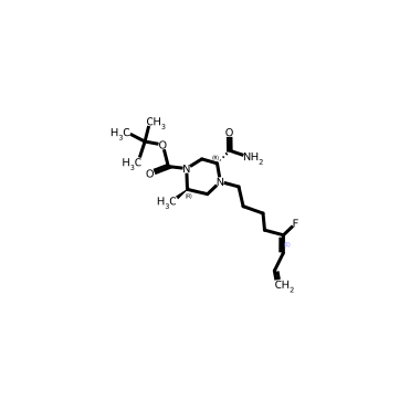 C=C/C=C(/F)CCCCN1C[C@@H](C)N(C(=O)OC(C)(C)C)C[C@@H]1C(N)=O